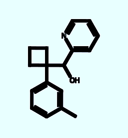 Cc1cccc(C2(C(O)c3ccccn3)CCC2)c1